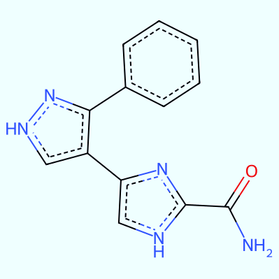 NC(=O)c1nc(-c2c[nH]nc2-c2ccccc2)c[nH]1